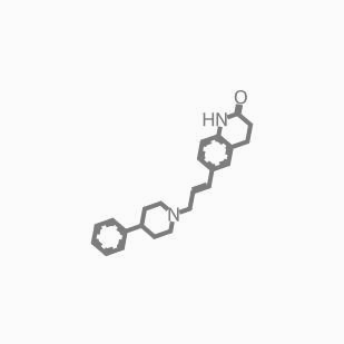 O=C1CCc2cc(C=CCN3CCC(c4ccccc4)CC3)ccc2N1